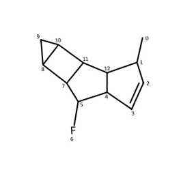 CC1C=CC2C(F)C3C4CC4C3C12